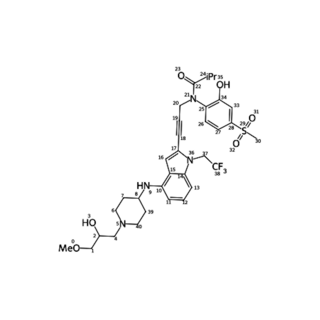 COCC(O)CN1CCC(Nc2cccc3c2cc(C#CCN(C(=O)C(C)C)c2ccc(S(C)(=O)=O)cc2O)n3CC(F)(F)F)CC1